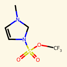 CN1C=CN(S(=O)(=O)OC(F)(F)F)C1